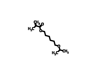 C=C(C)C(=O)OCCCCCCOC(C)C